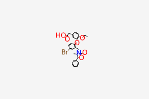 CCOc1ccc(CC(=O)O)cc1Oc1ccc(Br)cc1CN1C(=O)OC(c2ccccc2)C1C